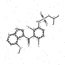 COc1ccnc2[nH]cc(C(=O)c3c(F)ccc(NS(=O)(=O)CC(C)C)c3F)c12